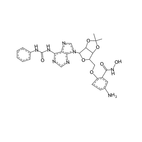 CC1(C)OC2C(COc3ccc(N)cc3C(=O)NO)OC(n3cnc4c(NC(=O)Nc5ccccc5)ncnc43)C2O1